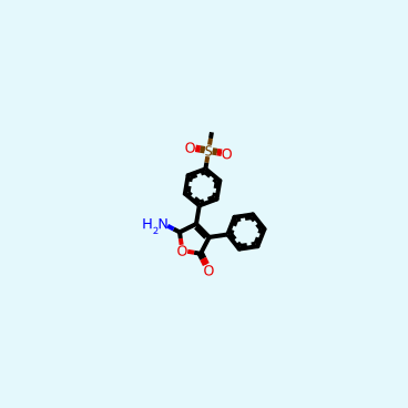 CS(=O)(=O)c1ccc(C2=C(c3ccccc3)C(=O)OC2N)cc1